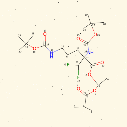 CC(OC(=O)C(C)C)OC(=O)C(CCCNC(=O)OC(C)(C)C)(NC(=O)OC(C)(C)C)C(F)F